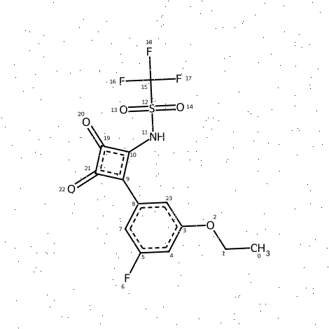 CCOc1cc(F)cc(-c2c(NS(=O)(=O)C(F)(F)F)c(=O)c2=O)c1